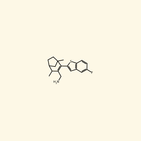 CC1C(CN)=C(c2cc3cc(F)ccc3s2)C2(C)CCC1C2